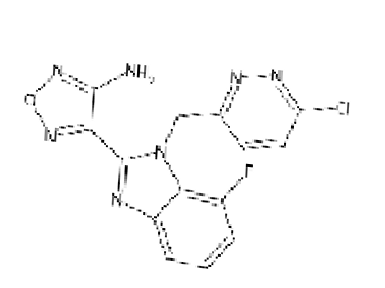 Nc1nonc1-c1nc2cccc(F)c2n1Cc1ccc(Cl)nn1